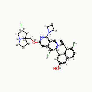 C#Cc1c(F)ccc2cc(O)cc(-c3ncc4c(N5CCC5)nc(OC[C@@]56CCCN5C[C@H](F)C6)cc4c3F)c12